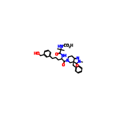 CN1N=C2CCN(C(=O)C(CCCc3cccc(CO)c3)NC(=O)C(C)(C)NC(=O)O)CC2(Cc2ccccc2)C1=O